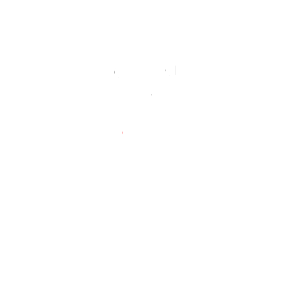 CC1(C)CC2CCCC2O1